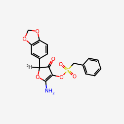 [2H]C1(c2ccc3c(c2)OCO3)OC(N)=C(OS(=O)(=O)Cc2ccccc2)C1=O